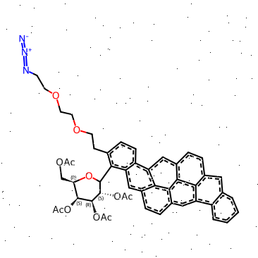 CC(=O)OC[C@H]1OC(c2c(CCOCCOCCN=[N+]=[N-])ccc3c2cc2ccc4cc5c6ccccc6cc6ccc7cc3c2c4c7c65)[C@H](OC(C)=O)[C@@H](OC(C)=O)[C@H]1OC(C)=O